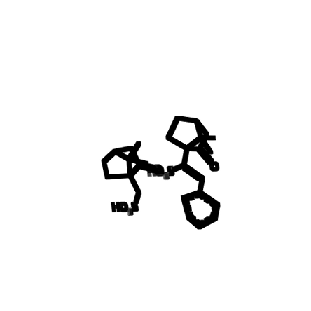 CC1(C)C2CCC1(C(=Cc1ccccc1)S(=O)(=O)O)C(=O)C2.CC1(C)C2CCC1(CS(=O)(=O)O)C(=O)C2